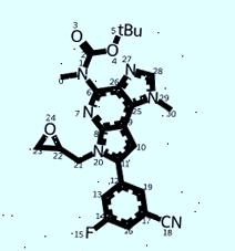 CN(C(=O)OC(C)(C)C)c1nc2c(cc(-c3cc(F)cc(C#N)c3)n2CC2CO2)c2c1ncn2C